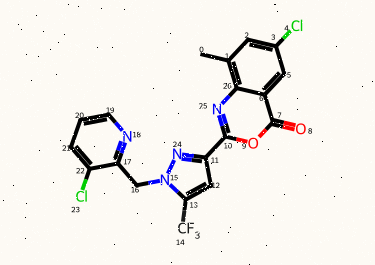 Cc1cc(Cl)cc2c(=O)oc(-c3cc(C(F)(F)F)n(Cc4ncccc4Cl)n3)nc12